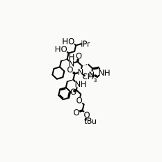 CC(C)C(O)CC(O)[C@H](CC1CCCCC1)NC(=O)[C@H](Cc1c[nH]cn1)N(C)C(=O)[C@H](Cc1ccccc1)NC(=O)COCC(=O)OC(C)(C)C